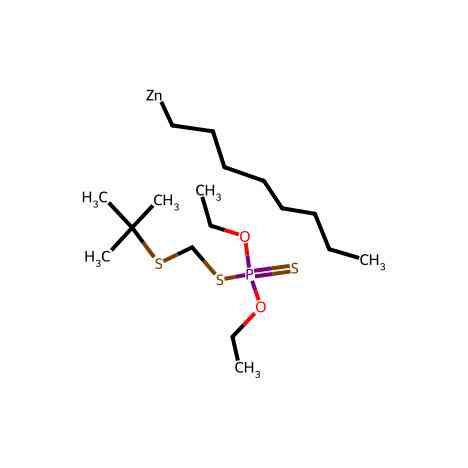 CCCCCCC[CH2][Zn].CCOP(=S)(OCC)SCSC(C)(C)C